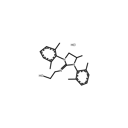 Cc1cccc(C)c1N1CC(C)N(c2c(C)cccc2C)C1=NCCO.Cl